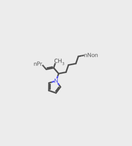 CCCC=C(C)C(CCCCCCCCCCCCC)n1cccc1